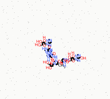 Cc1cn([C@H]2C[C@H](O)[C@@H](CO)O2)c(=O)[nH]c1=O.O=c1[nH]c(=O)c2[nH]cnc2[nH]1.O=c1cc[nH]c(=O)[nH]1.O=c1nc[nH]c2nc[nH]c12.OC[C@H]1O[C@@H](n2cnc3c(O)ncnc32)[C@H](O)[C@@H]1O.OC[C@H]1O[C@@H](n2cnc3cncnc32)[C@H](O)[C@@H]1O